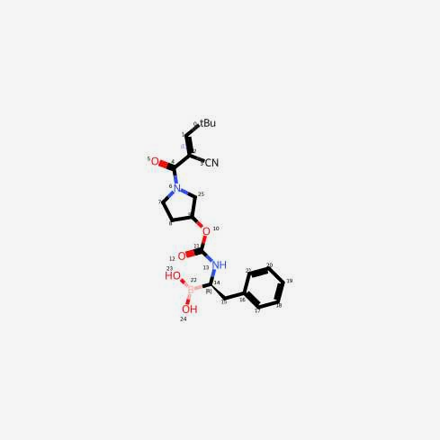 CC(C)(C)/C=C(\C#N)C(=O)N1CCC(OC(=O)N[C@@H](Cc2ccccc2)B(O)O)C1